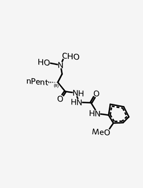 CCCCC[C@H](CN(O)C=O)C(=O)NNC(=O)Nc1ccccc1OC